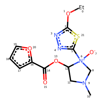 CCOc1nnc([N+]2([O-])CN(C)CC2OC(=O)c2ccco2)s1